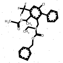 CCN(Cc1c(-c2ccccc2)c(Cl)cc(C(F)(F)F)c1C(C)OC(C)=O)C(=O)OCc1ccccc1